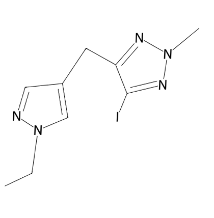 CCn1cc(Cc2nn(C)nc2I)cn1